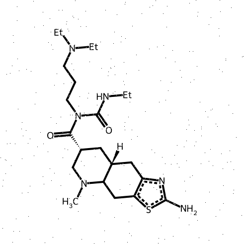 CCNC(=O)N(CCCN(CC)CC)C(=O)[C@@H]1C[C@@H]2Cc3nc(N)sc3CC2N(C)C1